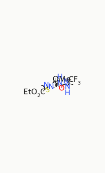 CCOC(=O)c1sc(N2CC[C@@H](NC(=O)c3nc(C(F)(F)F)c(C)[nH]3)[C@@H](OC)C2)nc1C